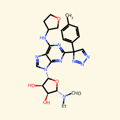 CCN(C=O)[C@H]1O[C@@H](n2cnc3c(NC4CCOC4)nc(C4(c5ccc(C)cc5)C=NN=N4)nc32)[C@H](O)[C@@H]1O